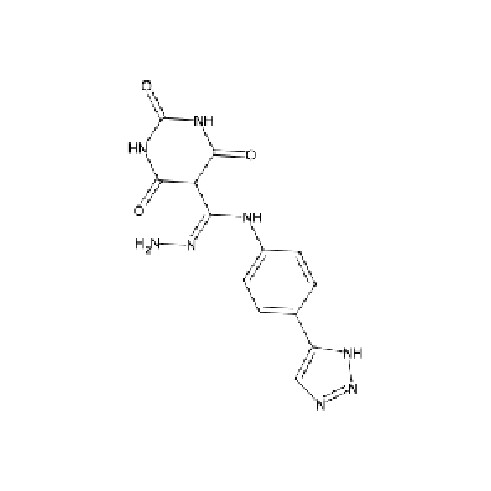 N/N=C(/Nc1ccc(-c2cnn[nH]2)cc1)C1C(=O)NC(=O)NC1=O